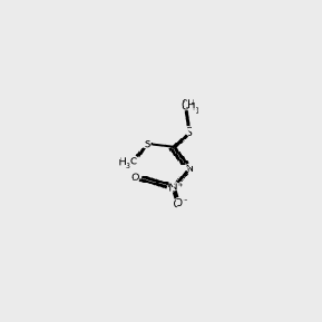 CSC(=N[N+](=O)[O-])SC